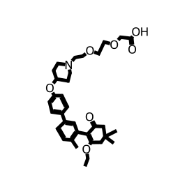 CCOC1=C(c2cc(-c3ccc(OC4CCN(CCOCCOCC(=O)O)CC4)cc3)ccc2C)C(=O)CC(C)(C)C1